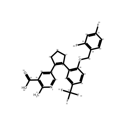 Cc1ncc(C2=C(c3cc(C(F)(F)F)ccc3OCc3ccc(F)cc3F)CCC2)cc1C(=O)O